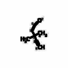 C#CC(C)(C)C=C=O